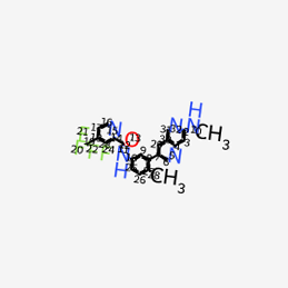 CNc1cc2ncc(-c3cc(NC(=O)c4nccc(C(F)(F)F)c4F)ccc3C)cc2cn1